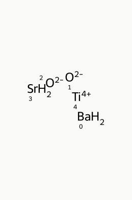 [BaH2].[O-2].[O-2].[SrH2].[Ti+4]